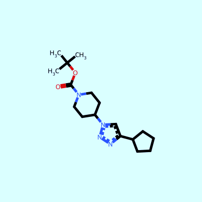 CC(C)(C)OC(=O)N1CCC(n2cc(C3CCCC3)nn2)CC1